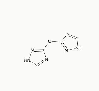 c1nc(Oc2nc[nH]n2)n[nH]1